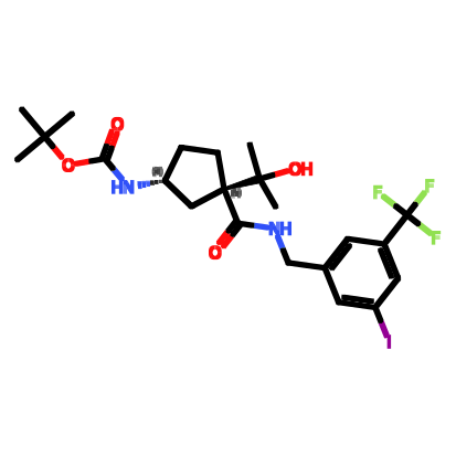 CC(C)(C)OC(=O)N[C@@H]1CC[C@@](C(=O)NCc2cc(I)cc(C(F)(F)F)c2)(C(C)(C)O)C1